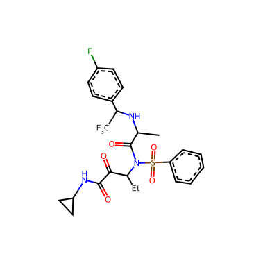 CCC(C(=O)C(=O)NC1CC1)N(C(=O)C(C)NC(c1ccc(F)cc1)C(F)(F)F)S(=O)(=O)c1ccccc1